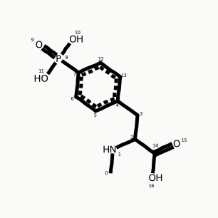 CNC(Cc1ccc(P(=O)(O)O)cc1)C(=O)O